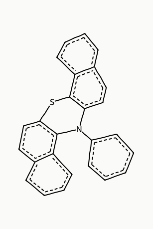 c1ccc(N2c3ccc4ccccc4c3Sc3ccc4ccccc4c32)cc1